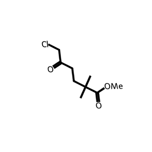 COC(=O)C(C)(C)CCC(=O)CCl